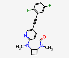 CN(C=O)C1CCC1N(C)c1ccc(C#Cc2cc(F)ccc2F)cn1